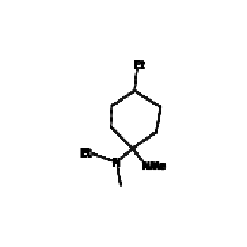 CCC1CCC(NC)(N(C)CC)CC1